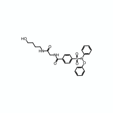 O=C(CNC(=O)c1ccc(S(=O)(=O)N(Oc2ccccc2)c2ccccc2)cc1)NCCCCO